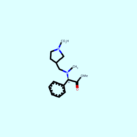 COC(=O)[C@@H](c1ccccc1)N(C)CC1CCN(C(=O)O)C1